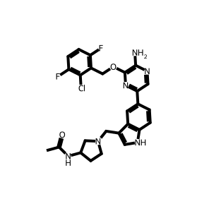 CC(=O)NC1CCN(Cc2c[nH]c3ccc(-c4cnc(N)c(OCc5c(F)ccc(F)c5Cl)n4)cc23)C1